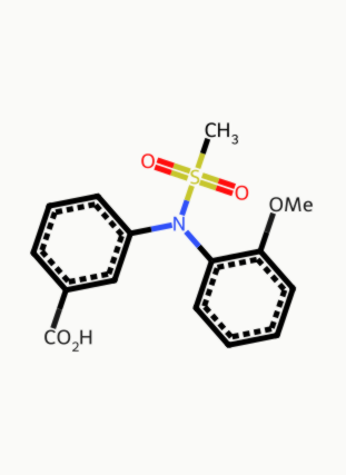 COc1ccccc1N(c1cccc(C(=O)O)c1)S(C)(=O)=O